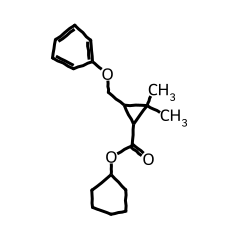 CC1(C)C(COc2ccccc2)C1C(=O)OC1CCCCC1